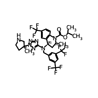 CC(C)OC(=O)N1c2ccc(C(F)(F)F)cc2[C@H](N(Cc2cc(C(F)(F)F)cc(C(F)(F)F)c2)c2nnn([C@]3(C)CCNC3)n2)C[C@@H]1C